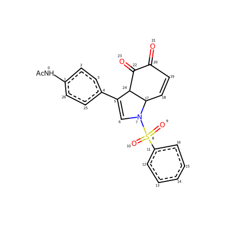 CC(=O)Nc1ccc(C2=CN(S(=O)(=O)c3ccccc3)C3C=CC(=O)C(=O)C23)cc1